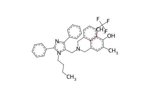 CCCCn1c(-c2ccccc2)nc(-c2ccccc2)c1CN(Cc1ccc(C(F)(F)F)cc1)Cc1cc(C)c(O)c(C)c1